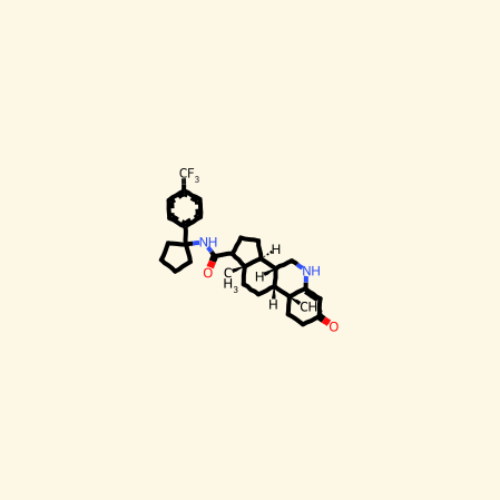 C[C@]12CCC(=O)C=C1NC[C@@H]1[C@H]2CC[C@]2(C)C(C(=O)NC3(c4ccc(C(F)(F)F)cc4)CCCC3)CC[C@@H]12